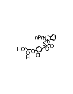 CCC/N=C1\SC2(OC2c2ccc(OCC(O)CO)c(Cl)c2)C(=O)N1c1ccccc1C